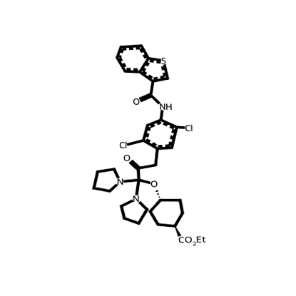 CCOC(=O)[C@H]1CC[C@H](OC(C(=O)Cc2cc(Cl)c(NC(=O)c3csc4ccccc34)cc2Cl)(N2CCCC2)N2CCCC2)CC1